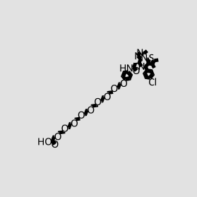 Cc1sc2c(c1C)C(c1ccc(Cl)cc1)=N[C@@H](CC(=O)Nc1ccc(OCCOCCOCCOCCOCCOCCOCCOCCOCC(=O)O)cc1)c1nnc(C)n1-2